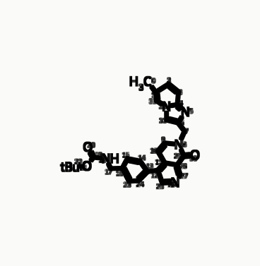 Cc1ccc2nc(Cn3ccc4c(-c5ccc(CNC(=O)OC(C)(C)C)cc5)cncc4c3=O)cn2c1